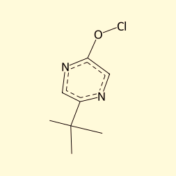 CC(C)(C)c1cnc(OCl)cn1